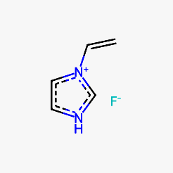 C=C[n+]1cc[nH]c1.[F-]